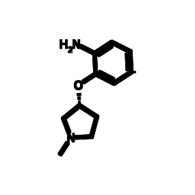 CN1CC[C@@H](Oc2c[c]ccc2N)C1